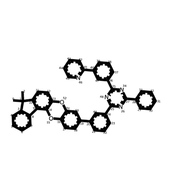 CC1(C)c2ccccc2-c2c1ccc1c2Oc2ccc(-c3cccc(-c4nc(-c5ccccc5)nc(-c5cccc(-c6ccccn6)c5)n4)c3)cc2O1